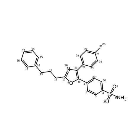 NS(=O)(=O)c1ccc(-c2oc(CCCc3ccccc3)nc2-c2ccc(F)cc2)cc1